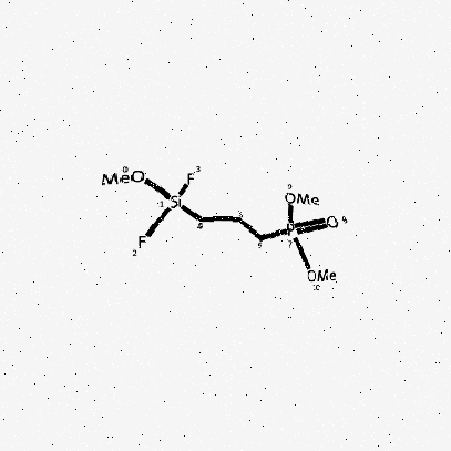 CO[Si](F)(F)CCCP(=O)(OC)OC